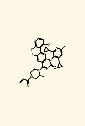 C=CC(=O)N1CCN(c2nc(=O)n(-c3c(C4CC4)nc(C)nc3C3CC3)c3nc(-c4c(O)cccc4F)c(F)cc23)[C@@H](C)C1